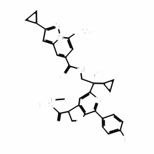 COc1cc(C(=O)NC[C@](O)(c2cc3c(c(-c4ccc(F)cc4)n2)OC[C@@]3(CF)C(N)=O)C2CC2)cc2cc(C3CC3)nn12